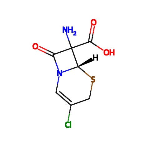 NC1(C(=O)O)C(=O)N2C=C(Cl)CS[C@H]21